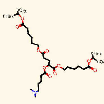 CCCCCCCCC(CCCCCC)OC(=O)CCCCCOC(=O)CCC(OC(=O)CCCCN(C)C)C(=O)OCCCCCC(=O)OC(CCCCCC)CCCCCCCC